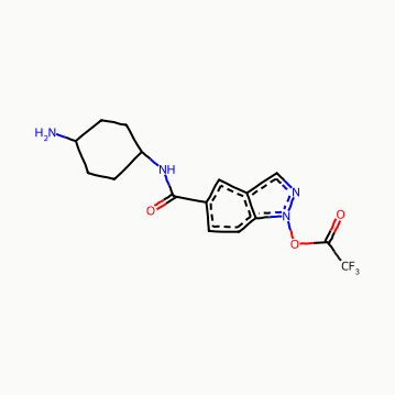 NC1CCC(NC(=O)c2ccc3c(cnn3OC(=O)C(F)(F)F)c2)CC1